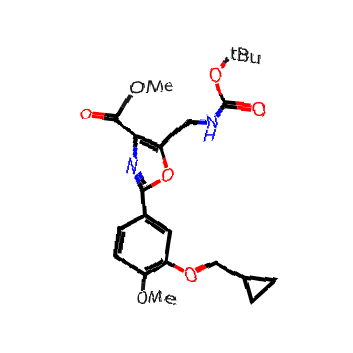 COC(=O)c1nc(-c2ccc(OC)c(OCC3CC3)c2)oc1CNC(=O)OC(C)(C)C